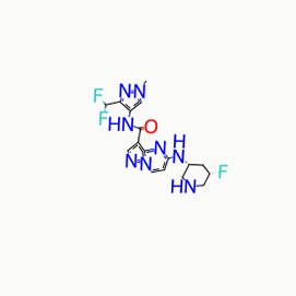 Cn1cc(NC(=O)c2cnn3ccc(N[C@H]4CNC[C@@H](F)C4)nc23)c(C(F)F)n1